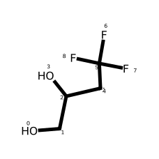 OCC(O)[CH]C(F)(F)F